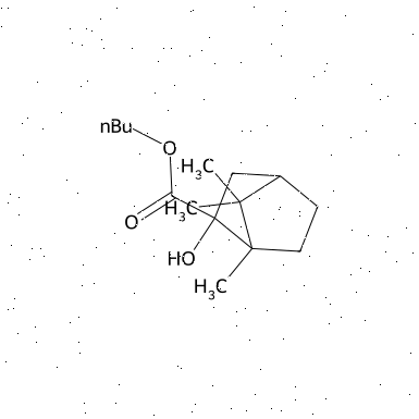 CCCCOC(=O)C1(O)CC2CCC1(C)C2(C)C